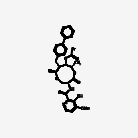 COc1ccnc(C(=O)N[C@H]2COC(=O)[C@H](Cc3ccc(-c4ccccc4)cc3)[C@@H](OC(=O)C(C)C)[C@H](C)OC2=O)c1O